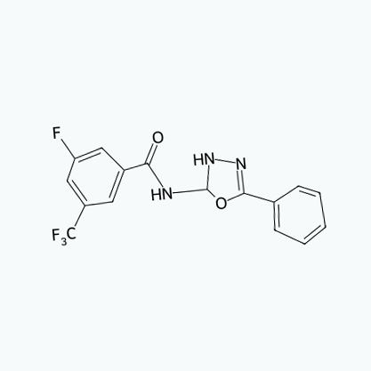 O=C(NC1NN=C(c2ccccc2)O1)c1cc(F)cc(C(F)(F)F)c1